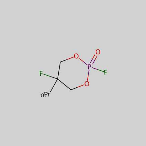 CCCC1(F)COP(=O)(F)OC1